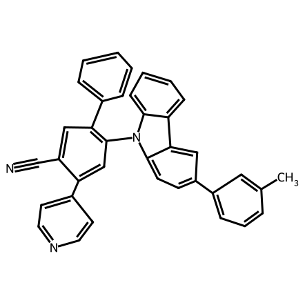 Cc1cccc(-c2ccc3c(c2)c2ccccc2n3-c2cc(-c3ccncc3)c(C#N)cc2-c2ccccc2)c1